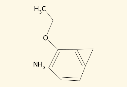 CCOc1cccc2c1C2.N